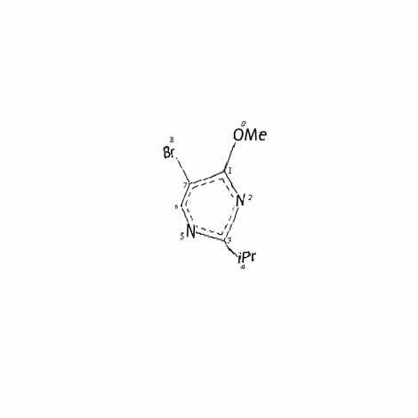 COc1nc(C(C)C)ncc1Br